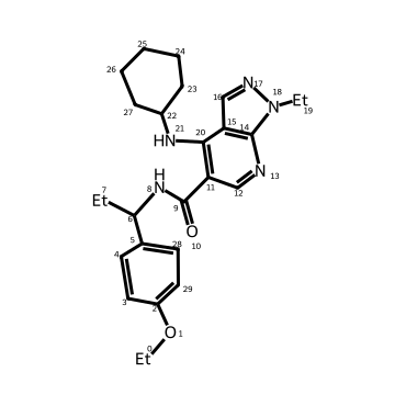 CCOc1ccc(C(CC)NC(=O)c2cnc3c(cnn3CC)c2NC2CCCCC2)cc1